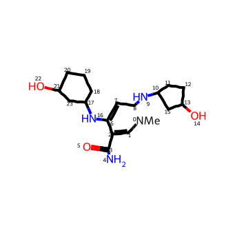 CN/C=C(C(N)=O)\C(=C/CNC1CCC(O)C1)NC1CCCC(O)C1